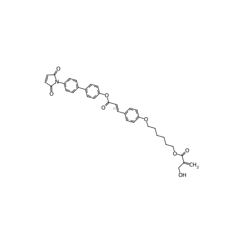 C=C(CO)C(=O)OCCCCCCOc1ccc(/C=C/C(=O)Oc2ccc(-c3ccc(N4C(=O)C=CC4=O)cc3)cc2)cc1